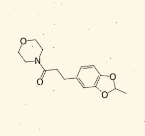 CC1Oc2ccc(CCC(=O)N3CCOCC3)cc2O1